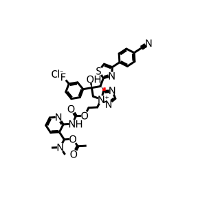 CC(=O)OC(c1cccnc1NC(=O)OCC[N+]1(C[C@](O)(c2cccc(F)c2)[C@@H](C)c2nc(-c3ccc(C#N)cc3)cs2)C=NC=N1)N(C)C.[Cl-]